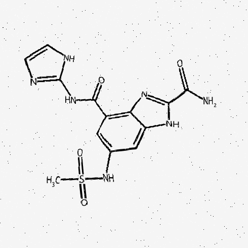 CS(=O)(=O)Nc1cc(C(=O)Nc2ncc[nH]2)c2nc(C(N)=O)[nH]c2c1